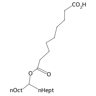 CCCCCCCCC(CCCCCCC)OC(=O)CCCCCCCC(=O)O